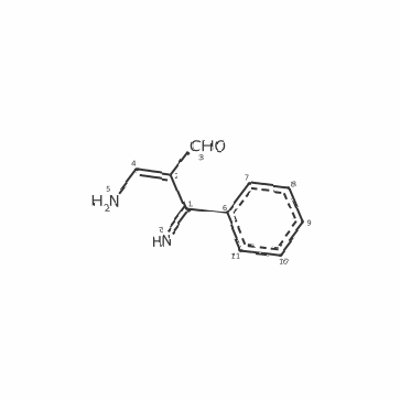 N=C(/C(C=O)=C\N)c1ccccc1